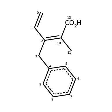 C=CC(Cc1ccccc1)=C(C)C(=O)O